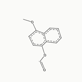 COc1ccc(O[C]=O)c2ccccc12